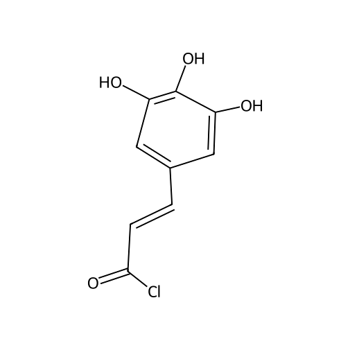 O=C(Cl)C=Cc1cc(O)c(O)c(O)c1